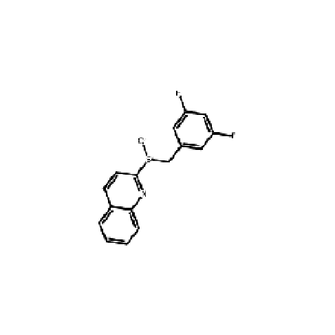 [O-][S+](Cc1cc(F)cc(F)c1)c1ccc2ccccc2n1